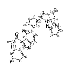 CNC(=O)c1c(-c2ccc(F)cc2)oc2ccc(-c3cc(C(=O)NC4(c5ncccn5)CC(=O)C4)ccc3C)c(F)c12